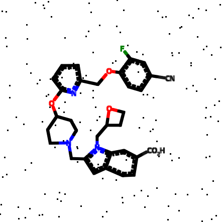 N#Cc1ccc(OCc2cccc(OC3CCN(Cc4cc5ccc(C(=O)O)cc5n4CC4CCO4)CC3)n2)c(F)c1